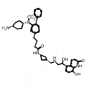 N[C@H]1CC[C@H](N(C(=O)O)c2cc(CCCC(=O)N[C@H]3C[C@H](CNCC(O)c4ccc(O)c5[nH]c(=O)ccc45)C3)ccc2-c2ccccc2)CC1